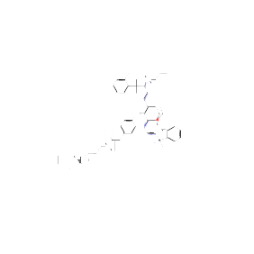 CCC/N=C(\C=C\C1=C(Oc2ccc(CC(=O)NCCCON)cc2)C(=C/C=C2\N(CCC)c3ccccc3C2(C)C)/CCC1)C(C)(C)c1ccccc1C